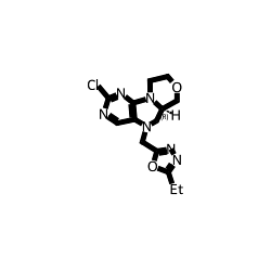 CCc1nnc(CN2C[C@@H]3COCCN3c3nc(Cl)ncc32)o1